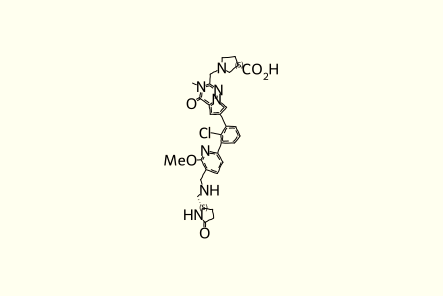 COc1nc(-c2cccc(-c3cc4c(=O)n(C)c(CN5CC[C@H](C(=O)O)C5)nn4c3)c2Cl)ccc1CNC[C@@H]1CCC(=O)N1